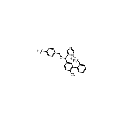 Cc1ccc(COC(c2ccc(C#N)c(-c3ccccc3C)c2)c2cncn2C)cc1